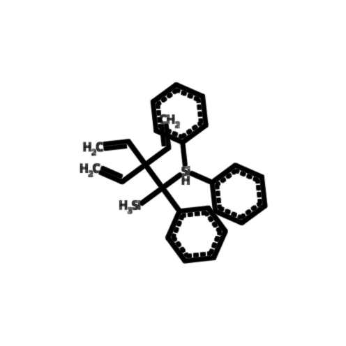 C=CC(C=C)(C=C)C([SiH3])(c1ccccc1)[SiH](c1ccccc1)c1ccccc1